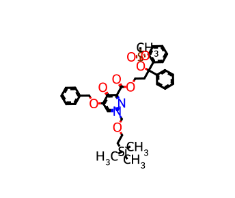 C[Si](C)(C)CCOCn1cc(OCc2ccccc2)c(=O)c(C(=O)OCCC(OS(C)(=O)=O)(c2ccccc2)c2ccccc2)n1